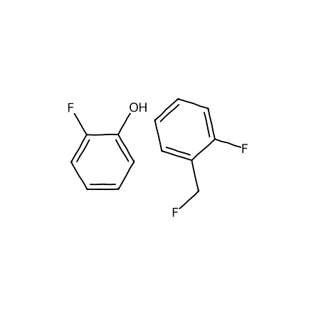 FCc1ccccc1F.Oc1ccccc1F